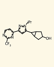 CC(C)n1nc(-c2ccnc(C(F)(F)F)n2)cc1C1C2CC(O)CC21